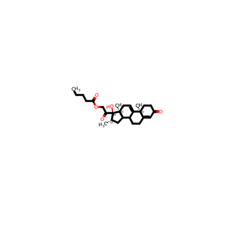 CCCCC(=O)OCC(=O)[C@@]1(O)[C@@H](C)CC2C3CCC4=CC(=O)CC[C@]4(C)C3=CC[C@@]21C